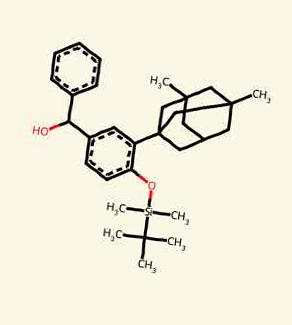 CC12CC3CC(C)(C1)CC(c1cc(C(O)c4ccccc4)ccc1O[Si](C)(C)C(C)(C)C)(C3)C2